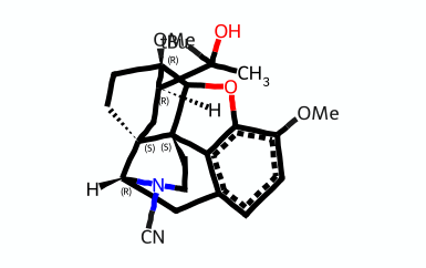 COc1ccc2c3c1OC1[C@@]4(OC)CC[C@@]5(C[C@@H]4C(C)(O)C(C)(C)C)[C@@H](C2)N(C#N)CC[C@]315